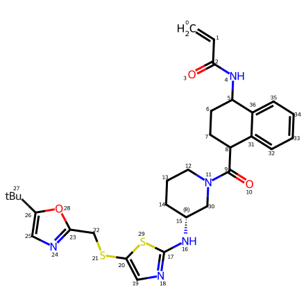 C=CC(=O)NC1CCC(C(=O)N2CCC[C@@H](Nc3ncc(SCc4ncc(C(C)(C)C)o4)s3)C2)c2ccccc21